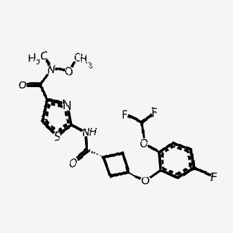 CON(C)C(=O)c1csc(NC(=O)[C@H]2C[C@H](Oc3cc(F)ccc3OC(F)F)C2)n1